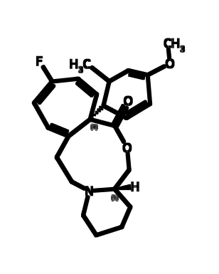 COC1=CC(C)C([C@@]23C=CC(F)=CC=C2CCN2CCCC[C@H]2COC3=O)C=C1